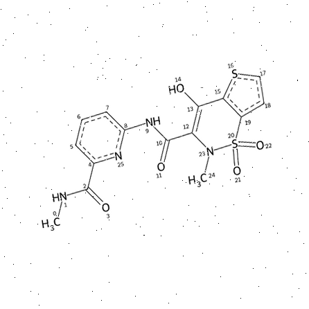 CNC(=O)c1cccc(NC(=O)C2=C(O)c3sccc3S(=O)(=O)N2C)n1